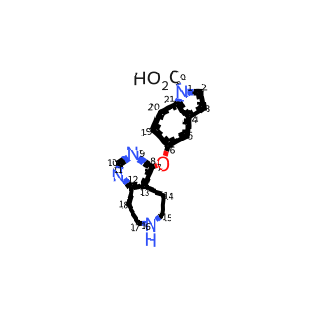 O=C(O)n1ccc2cc(Oc3ncnc4c3CCNCC4)ccc21